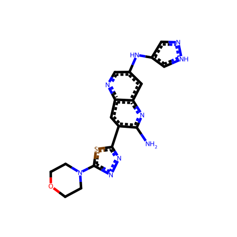 Nc1nc2cc(Nc3cn[nH]c3)cnc2cc1-c1nnc(N2CCOCC2)s1